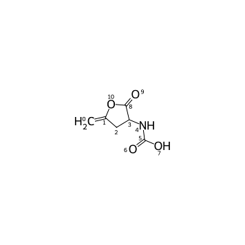 C=C1CC(NC(=O)O)C(=O)O1